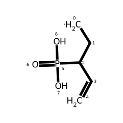 [CH2]CC(C=C)P(=O)(O)O